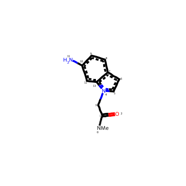 CNC(=O)Cn1ccc2ccc(N)cc21